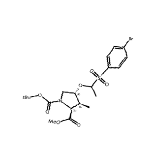 COC(=O)[C@@H]1[C@H](C)[C@@H](OC(C)S(=O)(=O)c2ccc(Br)cc2)CN1C(=O)OC(C)(C)C